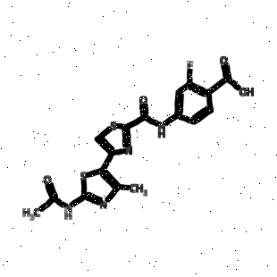 CC(=O)Nc1nc(C)c(-c2csc(C(=O)Nc3ccc(C(=O)O)c(F)c3)n2)s1